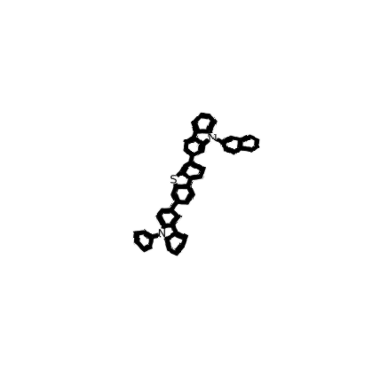 c1ccc(-n2c3ccccc3c3cc(-c4ccc5c(c4)sc4cc(-c6ccc7c8ccccc8n(-c8ccc9ccccc9c8)c7c6)ccc45)ccc32)cc1